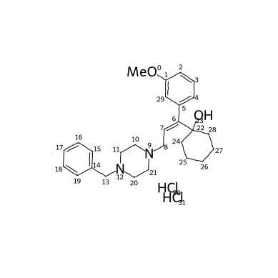 COc1cccc(C(=CCN2CCN(Cc3ccccc3)CC2)C2(O)CCCCC2)c1.Cl.Cl